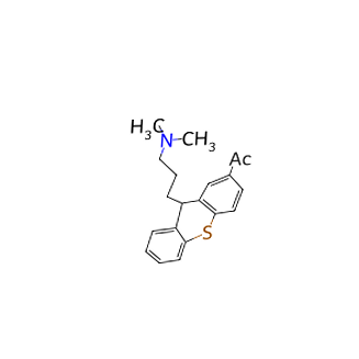 CC(=O)c1ccc2c(c1)C(CCCN(C)C)c1ccccc1S2